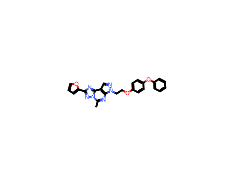 Cc1nc2c(cnn2CCOc2ccc(Oc3ccccc3)cc2)c2nc(-c3ccco3)nn12